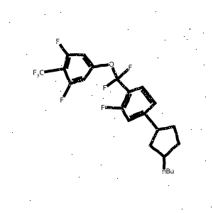 CCCCC1CCC(c2ccc(C(F)(F)Oc3cc(F)c(C(F)(F)F)c(F)c3)c(F)c2)C1